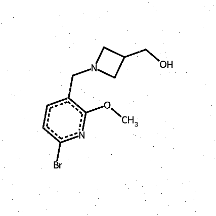 COc1nc(Br)ccc1CN1CC(CO)C1